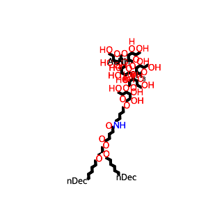 CCCCCCCCCCCCCCCCOC[C@@H](COC(=O)CCCC(=O)NCCCCCO[C@H]1OC(CO)[C@@H](O[C@@H]2OC(CO)[C@H](O[C@H]3OC(CO)[C@H](O)[C@H](O[C@@H]4OC(CO)[C@H](O)[C@H](O[C@@H]5OC(CO)[C@H](O)[C@H](O)C5O[C@@H]5OC(C)[C@@H](O)[C@H](O)C5O)C4NC(C)=O)C3O)[C@H](O)C2O)[C@H](O)C1O)OCCCCCCCCCCCCCCCC